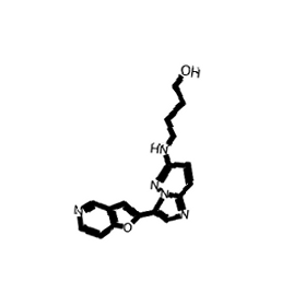 OCCCCNc1ccc2ncc(-c3cc4cnccc4o3)n2n1